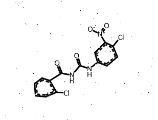 O=C(NC(=O)c1ccccc1Cl)Nc1ccc(Cl)c([N+](=O)[O-])c1